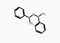 CB(OB(C)c1ccccc1)c1ccccc1